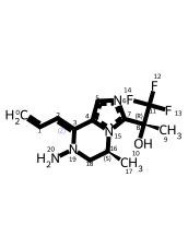 C=C/C=C1/c2cnc([C@@](C)(O)C(F)(F)F)n2[C@@H](C)CN1N